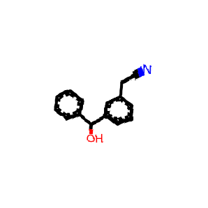 N#CCc1cccc(C(O)c2ccccc2)c1